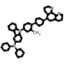 Cc1cc(-n2c3ccccc3c3cc(N(c4ccccc4)c4ccccc4)ccc32)ccc1-c1ccc(-c2cc3cccnc3c3ncccc23)cc1